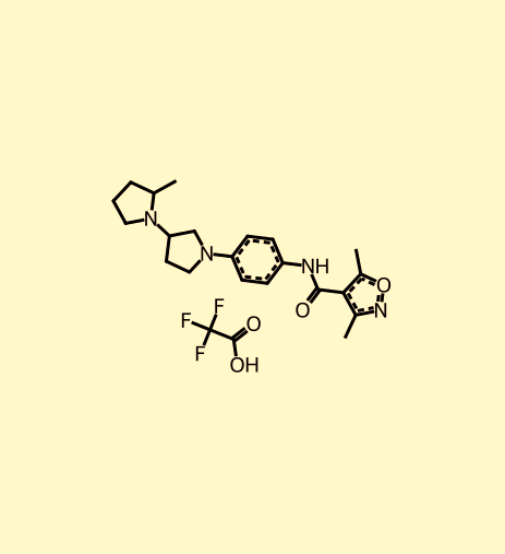 Cc1noc(C)c1C(=O)Nc1ccc(N2CCC(N3CCCC3C)C2)cc1.O=C(O)C(F)(F)F